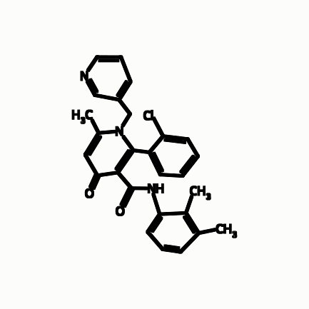 Cc1cccc(NC(=O)c2c(-c3ccccc3Cl)n(Cc3cccnc3)c(C)cc2=O)c1C